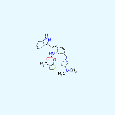 Cc1ccsc1OC(=O)Nc1cc(CN2CCC(N(C)C)C2)ccc1/C=C/c1n[nH]c2ccccc12